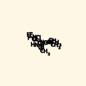 CCOC(=O)C(=N)/C(=C\NCOCC[Si](C)(C)C)c1ccc(C(F)(F)F)nc1Cl